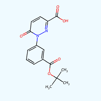 CC(C)(C)OC(=O)c1cccc(-n2nc(C(=O)O)ccc2=O)c1